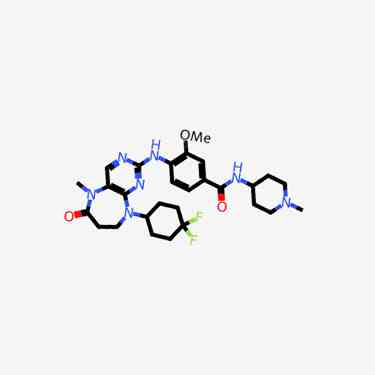 COc1cc(C(=O)NC2CCN(C)CC2)ccc1Nc1ncc2c(n1)N(C1CCC(F)(F)CC1)CCC(=O)N2C